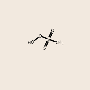 CS(=O)(=S)OO